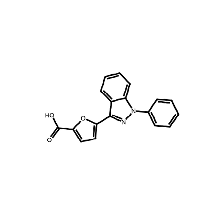 O=C(O)c1ccc(-c2nn(-c3ccccc3)c3ccccc23)o1